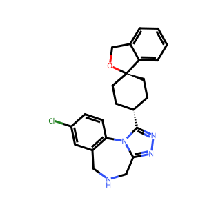 Clc1ccc2c(c1)CNCc1nnc([C@H]3CC[C@@]4(CC3)OCc3ccccc34)n1-2